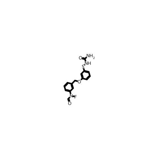 NC(=O)NSc1cccc(OCc2cccc(N(F)C=O)c2)c1